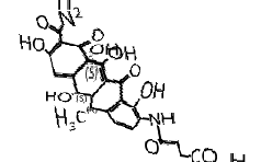 C[C@H]1c2ccc(NC(=O)CCC(=O)O)c(O)c2C(=O)C2=C(O)[C@]3(O)C(=O)C(C(N)=O)=C(O)CC3[C@@H](O)C21